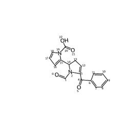 O=CN1C(C(=O)c2ccccc2)=CCC1c1cccn1C(=O)O